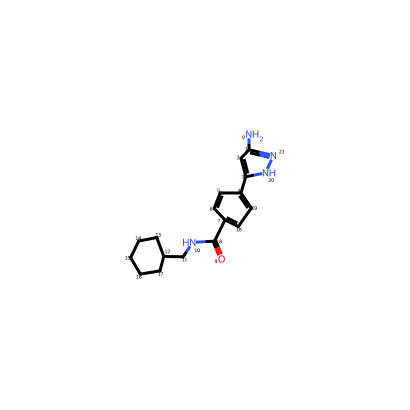 Nc1cc(-c2ccc(C(=O)NCC3CCCCC3)cc2)[nH]n1